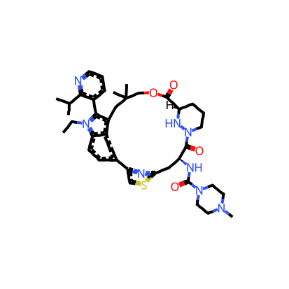 CCn1c(-c2cccnc2C(C)C)c2c3cc(ccc31)-c1csc(n1)C[C@H](NC(=O)N1CCN(C)CC1)C(=O)N1CCC[C@H](N1)C(=O)OCC(C)(C)C2